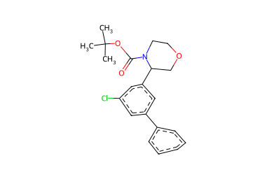 CC(C)(C)OC(=O)N1CCOCC1c1cc(Cl)cc(-c2ccccc2)c1